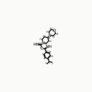 CC(C)c1ccc(C(=N)OC(=N)N2CCC(N3CCOCC3)CC2)cc1